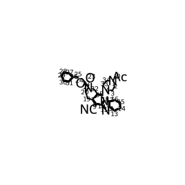 CC(=O)N1CCN(c2c3c(c(C#N)c4nc5ccccc5n24)CCN(C(=O)OCc2ccccc2)C3)CC1